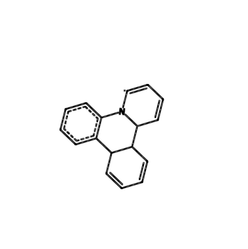 [C]1=CC=CC2C3C=CC=CC3c3ccccc3N12